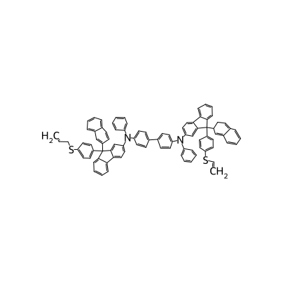 C=CCSc1ccc(C2(c3ccc4ccccc4c3)c3ccccc3-c3ccc(N(c4ccccc4)c4ccc(-c5ccc(N(c6ccccc6)c6ccc7c(c6)C(c6ccc(SC=C)cc6)(C6C=c8ccccc8=CC6)c6ccccc6-7)cc5)cc4)cc32)cc1